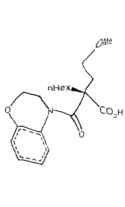 CCCCCC[C@@](CCOC)(C(=O)O)C(=O)N1CCOc2ccccc21